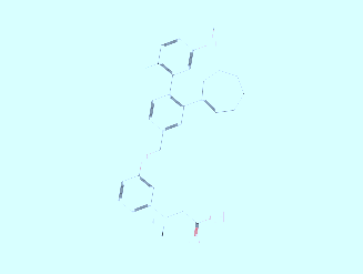 COc1ccc(F)c(-c2ccc(COc3cccc([C@H](C)CC(=O)O)c3)cc2C2=CCCCCC2)c1